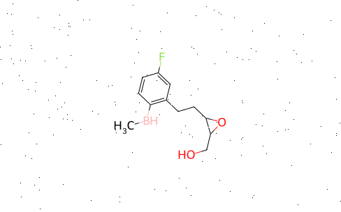 CBc1ccc(F)cc1CCC1OC1CO